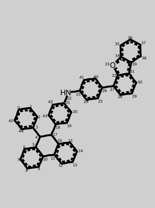 c1ccc(C2c3ccccc3-c3ccccc3C2c2ccc(Nc3ccc(-c4cccc5c4oc4ccccc45)cc3)cc2)cc1